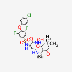 CCC(C)C(NCC[C@@H](NS(=O)(=O)c1cc(F)c(Oc2ccc(Cl)cc2)c(F)c1)C(=O)NO)=C1C(=O)CC(C)(C)CC1=O